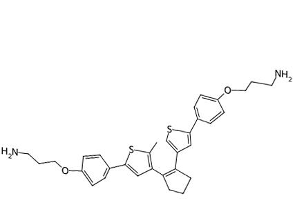 Cc1sc(-c2ccc(OCCCN)cc2)cc1C1=C(c2csc(-c3ccc(OCCCN)cc3)c2)CCC1